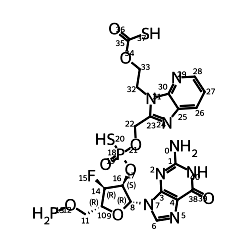 Nc1nc2c(ncn2[C@@H]2O[C@H](COP)[C@@H](F)[C@H]2OP(=O)(S)OCc2nc3cccnc3n2CCOC(=O)S)c(=O)[nH]1